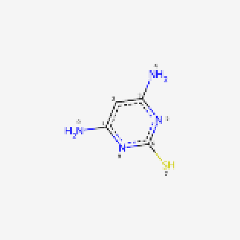 Nc1cc(N)nc(S)n1